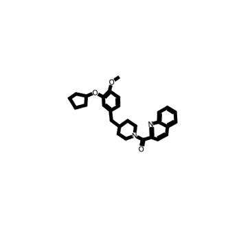 COc1ccc(CC2CCN(C(=O)c3ccc4ccccc4n3)CC2)cc1OC1CCCC1